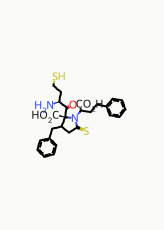 N[C@@H](CCS)C(=O)[C@@]1(C(=O)O)C(Cc2ccccc2)CC(=S)N1C(CCc1ccccc1)C(=O)O